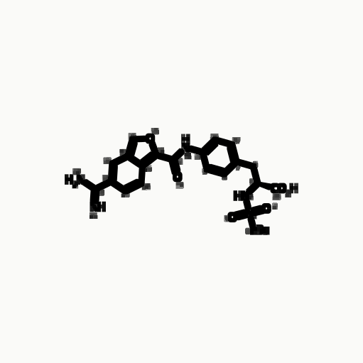 CCCCS(=O)(=O)N[C@@H](Cc1ccc(NC(=O)c2occ3cc(C(=N)N)ccc23)cc1)C(=O)O